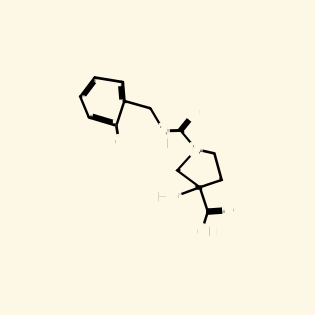 O=C(NCc1ccccc1Cl)N1CCC(O)(C(=O)O)C1